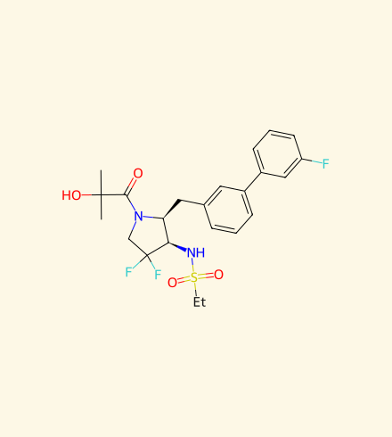 CCS(=O)(=O)N[C@@H]1[C@H](Cc2cccc(-c3cccc(F)c3)c2)N(C(=O)C(C)(C)O)CC1(F)F